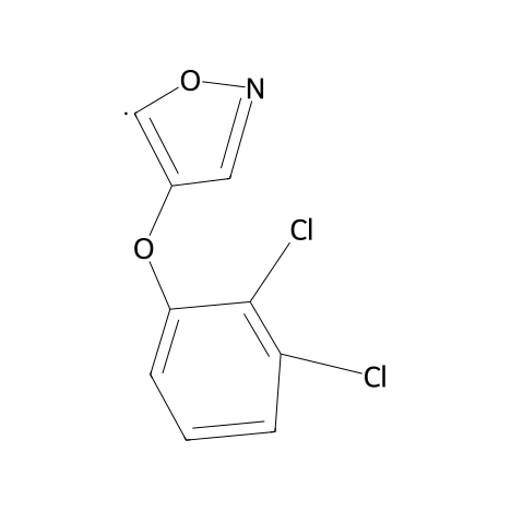 Clc1cccc(Oc2[c]onc2)c1Cl